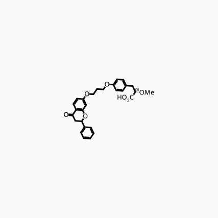 CO[C@@H](Cc1ccc(OCCCOc2ccc3c(c2)OC(c2ccccc2)CC3=O)cc1)C(=O)O